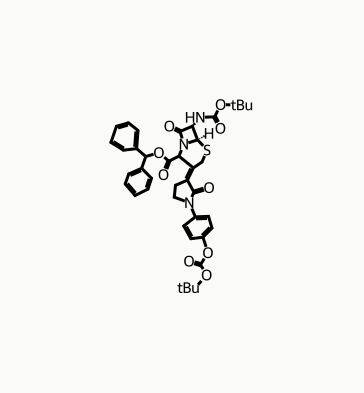 CC(C)(C)OC(=O)N[C@@H]1C(=O)N2C(C(=O)OC(c3ccccc3)c3ccccc3)/C(=C3\CCN(c4ccc(OC(=O)OC(C)(C)C)cc4)C3=O)CS[C@H]12